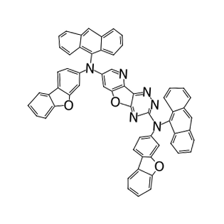 c1ccc2c(N(c3ccc4c(c3)oc3ccccc34)c3cnc4c(c3)oc3nc(N(c5ccc6c(c5)oc5ccccc56)c5c6ccccc6cc6ccccc56)nnc34)c3ccccc3cc2c1